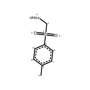 CCCCCCCS(=O)(=O)c1ccc(C)cc1